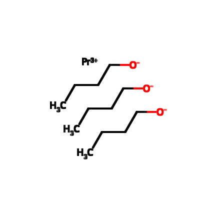 CCCC[O-].CCCC[O-].CCCC[O-].[Pr+3]